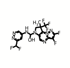 CC1(C(F)(F)F)CN(C(O)Nc2cnnc(C(F)F)c2)c2cnc3c(F)c(F)nn3c21